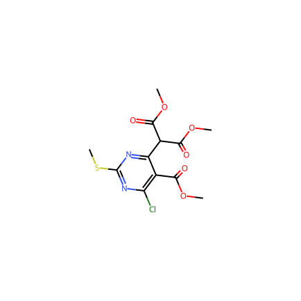 COC(=O)c1c(Cl)nc(SC)nc1C(C(=O)OC)C(=O)OC